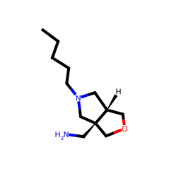 CCCCCN1C[C@@H]2COC[C@]2(CN)C1